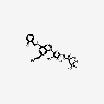 CC(C)CCc1nc(NCc2ccccc2Cl)c2nnn([C@@H]3O[C@H](COP(=O)(O)CP(=O)(O)O)[C@@H](O)[C@H]3O)c2n1